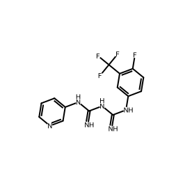 N=C(NC(=N)Nc1ccc(F)c(C(F)(F)F)c1)Nc1cccnc1